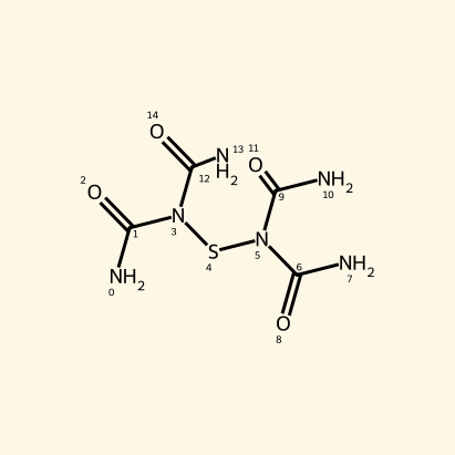 NC(=O)N(SN(C(N)=O)C(N)=O)C(N)=O